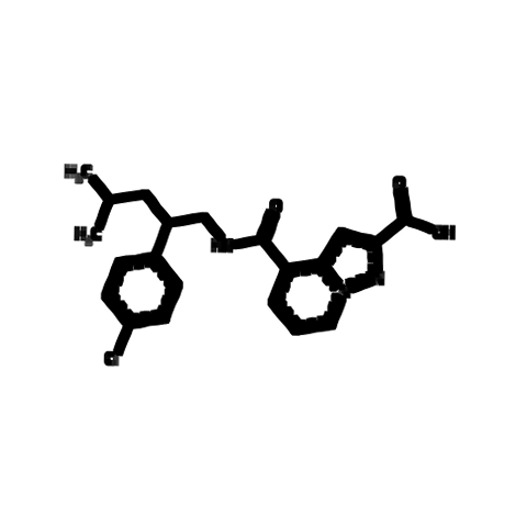 CC(C)CC(CNC(=O)c1cccn2nc(C(=O)O)cc12)c1ccc(Cl)cc1